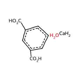 O.O=C(O)c1cccc(C(=O)O)c1.[CaH2]